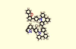 Cc1cc(N2c3ccccc3-c3ccccc3-c3ccc(-c4ccc5c(c4)-c4ccccc4-c4ccccc4N5c4ccc(-c5cccc6c5oc5ccccc56)cc4)cc32)ccc1-c1cccc2cccnc12